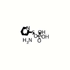 N.O=P(O)(O)OSc1ccccn1